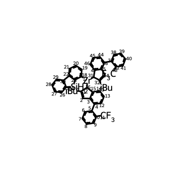 CCC(C)C1=Cc2c(-c3ccccc3C(F)(F)F)cccc2[CH]1[Zr]([c]1cccc2c1[SiH2]c1ccccc1-2)[CH]1C(C(C)CC)=Cc2c(-c3ccccc3C(F)(F)F)cccc21